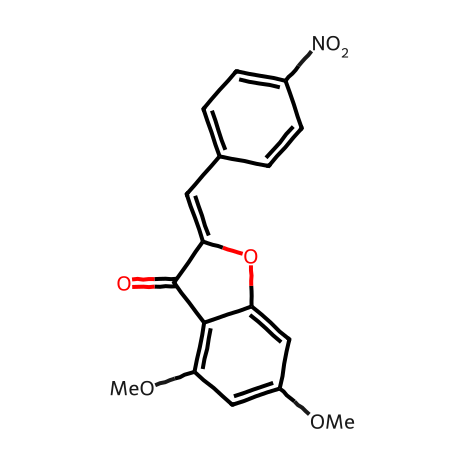 COc1cc(OC)c2c(c1)O/C(=C\c1ccc([N+](=O)[O-])cc1)C2=O